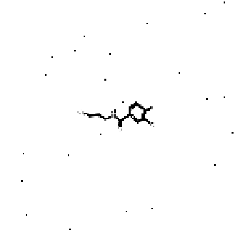 [O]CCCNC(=O)c1ccc(Cl)c(Cl)c1